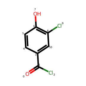 O=C(Cl)c1ccc(O)c(Cl)c1